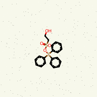 O=S(=O)(CCO)OS(c1ccccc1)(c1ccccc1)c1ccccc1